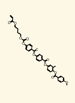 C=CC(=O)OCCCCOC(=O)Oc1ccc(C(=O)Oc2ccc(C(=O)Oc3ccc(OC(=O)c4ccc(OC)cc4)c(C)c3)cc2)cc1